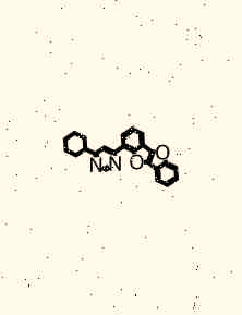 c1ccc2c(c1)oc1c3cccc(-c4cc(C5CCCCC5)ncn4)c3oc21